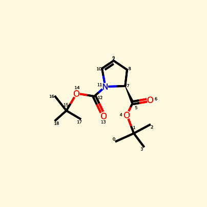 CC(C)(C)OC(=O)[C@@H]1CC=CN1C(=O)OC(C)(C)C